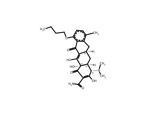 CCCCOc1ccc(C)c2c1C(=O)C1=C(O)[C@]3(O)C(=O)C(C(N)=O)=C(O)[C@@H](N(C)C)[C@@H]3C[C@@H]1C2